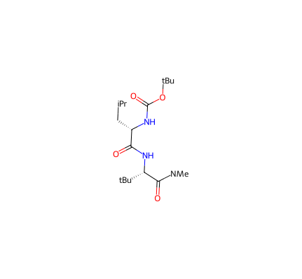 CNC(=O)[C@@H](NC(=O)[C@H](CC(C)C)NC(=O)OC(C)(C)C)C(C)(C)C